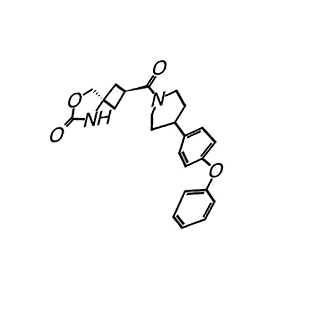 O=C1N[C@]2(CO1)C[C@H](C(=O)N1CCC(c3ccc(Oc4ccccc4)cc3)CC1)C2